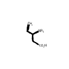 C=C[C](N)CC(=O)O